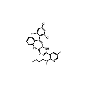 COCCN(C)c1ncc(F)cc1C(=O)NC1N=C(c2c(Cl)cc(Cl)cc2Cl)c2ccccc2NC1=O